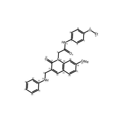 CCOc1ccc(NC(=O)Cn2c(=O)c(CNc3ccccc3)cc3ccc(OC)cc32)cc1